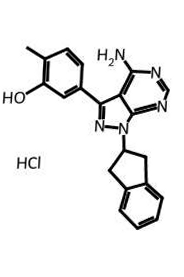 Cc1ccc(-c2nn(C3Cc4ccccc4C3)c3ncnc(N)c23)cc1O.Cl